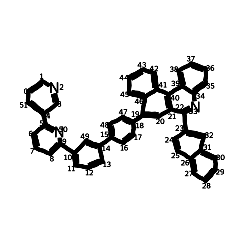 c1cncc(-c2cccc(-c3cccc(-c4ccc(-c5cc6c(-c7ccc8ccccc8c7)nc7ccccc7c6c6ccccc56)cc4)c3)n2)c1